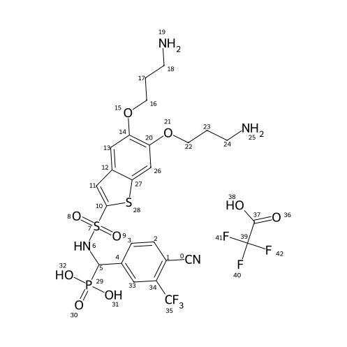 N#Cc1ccc(C(NS(=O)(=O)c2cc3cc(OCCCN)c(OCCCN)cc3s2)P(=O)(O)O)cc1C(F)(F)F.O=C(O)C(F)(F)F